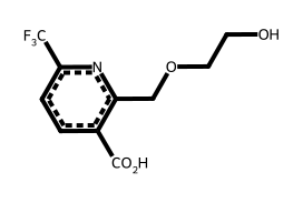 O=C(O)c1ccc(C(F)(F)F)nc1COCCO